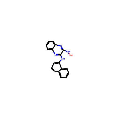 ONc1nc2ccccc2nc1Nc1cccc2ccccc12